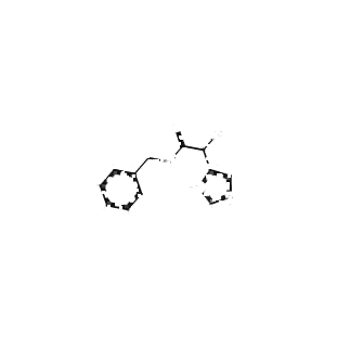 CC(=O)NC(C(=O)NCc1ccccc1)c1c[nH]cn1